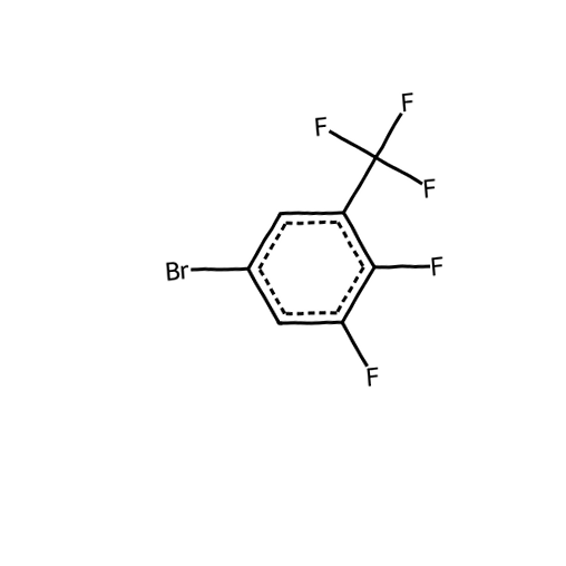 Fc1cc(Br)cc(C(F)(F)F)c1F